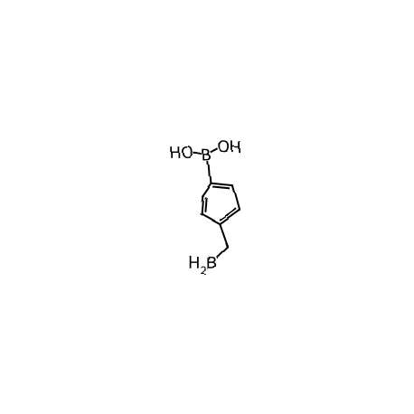 BCc1ccc(B(O)O)cc1